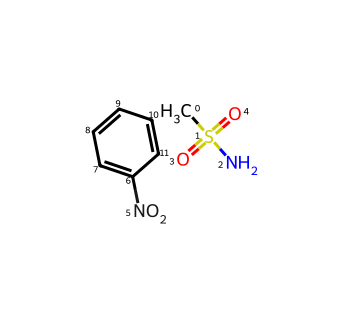 CS(N)(=O)=O.O=[N+]([O-])c1ccccc1